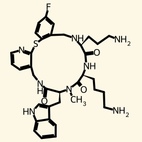 CN1C(=O)[C@H](CCCCN)NC(=O)[C@H](CCCN)NCc2cc(F)ccc2Sc2ncccc2CNC(=O)[C@@H]1Cc1c[nH]c2ccccc12